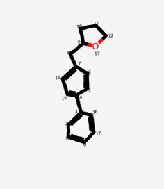 c1ccc(-c2ccc(CC3CCCO3)cc2)cc1